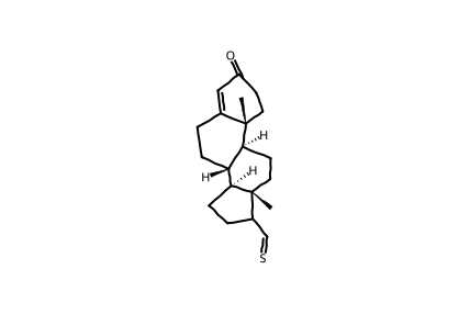 C[C@]12CCC(=O)C=C1CC[C@@H]1[C@@H]2CC[C@]2(C)C(C=S)CC[C@@H]12